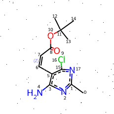 Cc1nc(N)c(/C=C\C(=O)OC(C)(C)C)c(Cl)n1